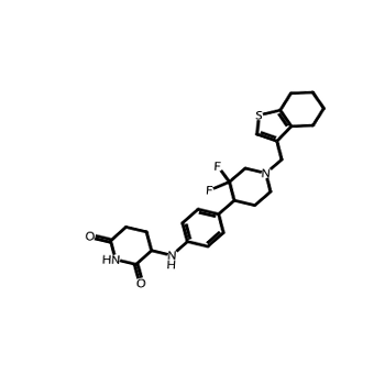 O=C1CCC(Nc2ccc(C3CCN(Cc4csc5c4CCCC5)CC3(F)F)cc2)C(=O)N1